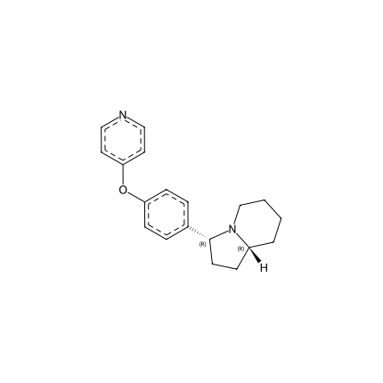 c1cc(Oc2ccc([C@H]3CC[C@H]4CCCCN43)cc2)ccn1